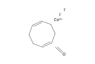 C1=C\CC/C=C\CC/1.[C]=O.[Co+2].[I-].[I-]